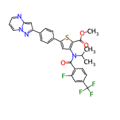 COC(=O)c1sc(-c2ccc(-c3cc4ncccn4n3)cc2)cc1N(C(=O)c1ccc(C(F)(F)F)cc1F)C(C)C